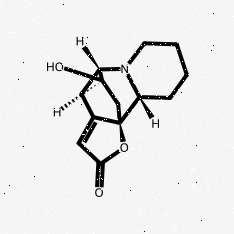 O=C1C=C2C[C@H]3[C@H](O)C[C@]2(O1)[C@H]1CCCCN31